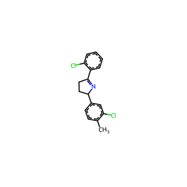 Cc1ccc(C2CCC(c3ccccc3Cl)=N2)cc1Cl